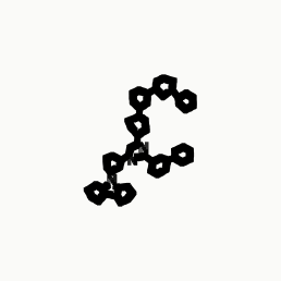 c1ccc(-c2cccc(-c3cccc(-c4ccc(-c5cc(-c6cccc(-n7c8ccccc8c8ccccc87)c6)nc(-c6cccc(-c7ccccc7)c6)n5)cc4)c3)c2)cc1